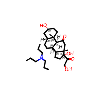 CCCN(CCC)CCC.C[C@]12CC[C@@H](O)C[C@H]1CC[C@@H]1[C@@H]2C(=O)C[C@@]2(C)[C@H]1CC[C@]2(O)C(=O)CO